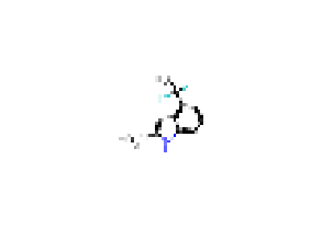 CC(F)(F)c1cccc2[nH]c(C(=O)O)cc12